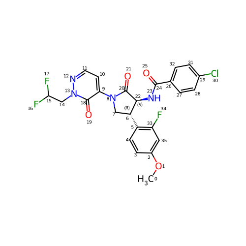 COc1ccc([C@@H]2CN(c3ccnn(CC(F)F)c3=O)C(=O)[C@H]2NC(=O)c2ccc(Cl)cc2)c(F)c1